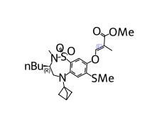 CCCC[C@@H]1CN(C23CC(C2)C3)c2cc(SC)c(O/C=C(\C)C(=O)OC)cc2S(=O)(=O)N1C